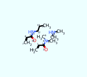 C=CC(=O)N(C)C.C=CC(=O)NCCC.CNC